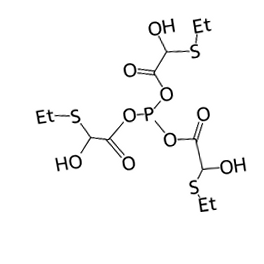 CCSC(O)C(=O)OP(OC(=O)C(O)SCC)OC(=O)C(O)SCC